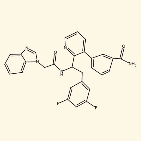 NC(=O)c1cccc(-c2cccnc2C(Cc2cc(F)cc(F)c2)NC(=O)Cn2cnc3ccccc32)c1